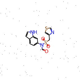 O=[C]N(c1ccc2cc[nH]c2c1)S(=O)(=O)Cc1cscn1